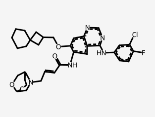 O=C(/C=C/CN1CC2CCCC1CO2)Nc1cc2c(Nc3ccc(F)c(Cl)c3)ncnc2cc1OCC1CC2(CCCCC2)C1